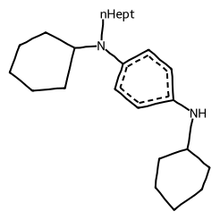 CCCCCCCN(c1ccc(NC2CCCCC2)cc1)C1CCCCC1